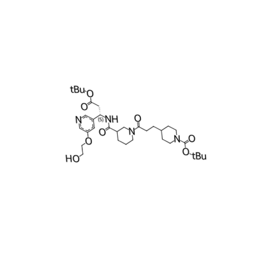 CC(C)(C)OC(=O)C[C@H](NC(=O)C1CCCN(C(=O)CCC2CCN(C(=O)OC(C)(C)C)CC2)C1)c1cncc(OCCO)c1